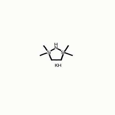 C[Si]1(C)CC[Si](C)(C)N1.[KH]